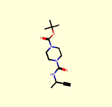 C#CC(C)NC(=O)N1CCN(C(=O)OC(C)(C)C)CC1